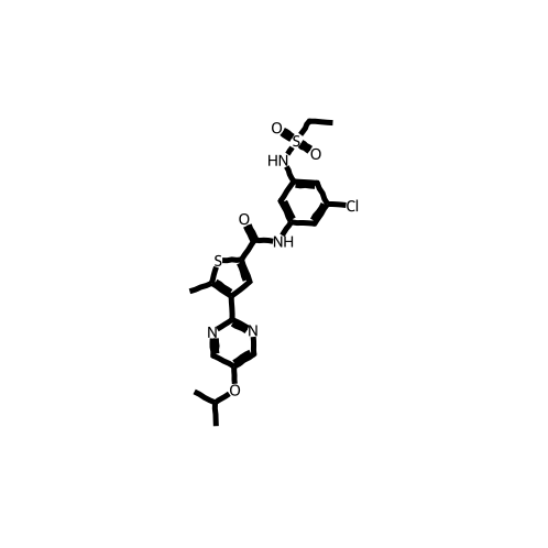 CCS(=O)(=O)Nc1cc(Cl)cc(NC(=O)c2cc(-c3ncc(OC(C)C)cn3)c(C)s2)c1